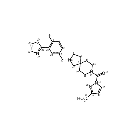 Cc1ccc(CN2CCC3(CCN(C(=O)n4ccc(C(=O)O)n4)CC3)C2)cc1-c1nccs1